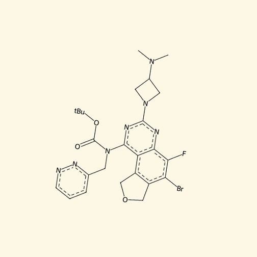 CN(C)C1CN(c2nc(N(Cc3cccnn3)C(=O)OC(C)(C)C)c3c4c(c(Br)c(F)c3n2)COC4)C1